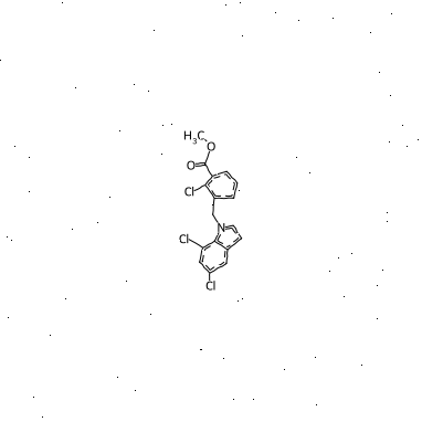 COC(=O)c1cccc(Cn2ccc3cc(Cl)cc(Cl)c32)c1Cl